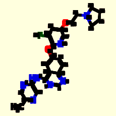 Cc1cnc(Nc2ncnc3ccc(Oc4ncc(OCCN5CCCC5)cc4F)cc23)cn1